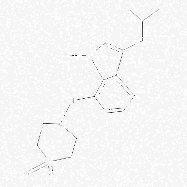 O=S1(=O)CCC(Nc2cccc3c(CC(F)F)c[s+]([O-])c23)CC1